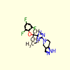 CCn1c(N2CCc3[nH]ncc3C2)nnc1C(C)(C)Oc1c(F)cc(F)cc1F